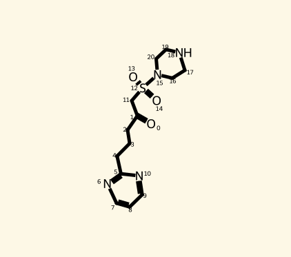 O=C(CCCc1ncccn1)CS(=O)(=O)N1CCNCC1